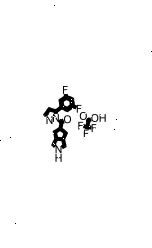 O=C(C1CC2CNCC2C1)N1N=CCC1c1cc(F)cc(F)c1.O=C(O)C(F)(F)F